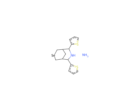 N.c1csc(C2NC(c3cccs3)C3C[Se]CC2C3)c1